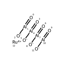 [O]=[Al][O-].[O]=[Al][O-].[O]=[Al][O-].[O]=[Al][O-].[Ru+4]